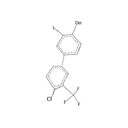 Oc1ccc(-c2ccc(Cl)c(C(F)(F)F)c2)cc1I